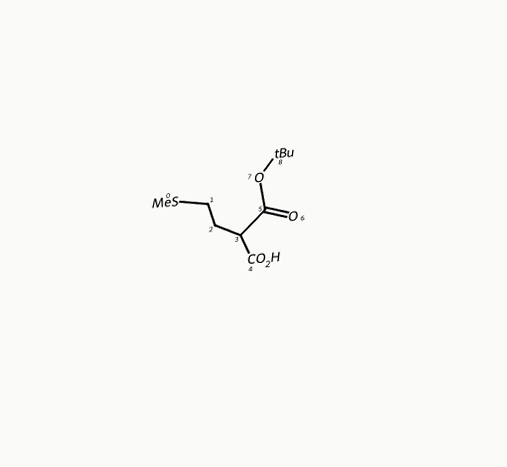 CSCCC(C(=O)O)C(=O)OC(C)(C)C